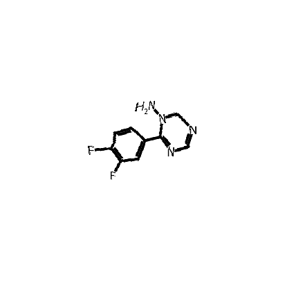 NN1CN=CN=C1c1ccc(F)c(F)c1